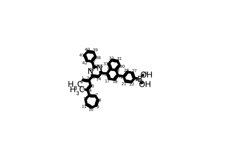 C/C=C(\C=C(/C)C1=CC=CC=CC1)c1cc(-c2ccc(-c3ccc(B(O)O)cc3)c3ccccc23)nc(-c2ccccc2)n1